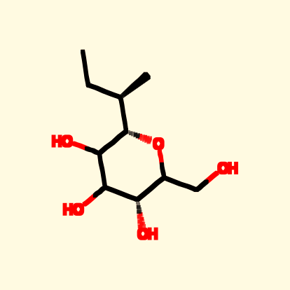 CC[C@@H](C)[C@@H]1OC(CO)[C@H](O)C(O)C1O